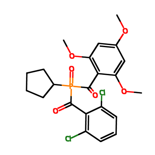 COc1cc(OC)c(C(=O)P(=O)(C(=O)c2c(Cl)cccc2Cl)C2CCCC2)c(OC)c1